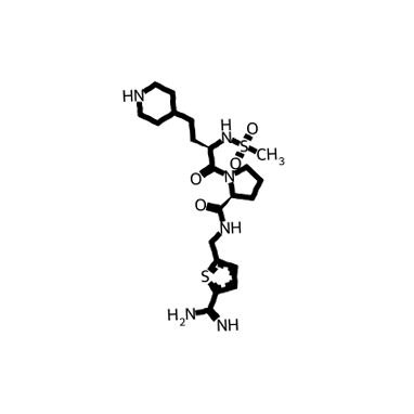 CS(=O)(=O)N[C@H](CCC1CCNCC1)C(=O)N1CCC[C@H]1C(=O)NCc1ccc(C(=N)N)s1